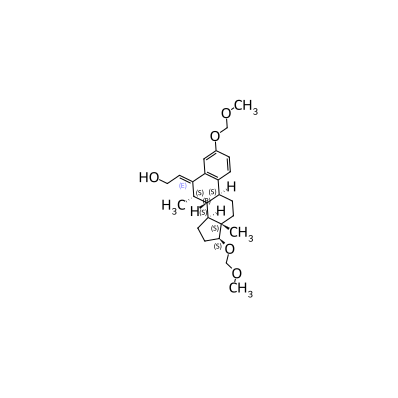 COCOc1ccc2c(c1)/C(=C/CO)[C@@H](C)[C@@H]1[C@@H]2CC[C@]2(C)[C@@H](OCOC)CC[C@@H]12